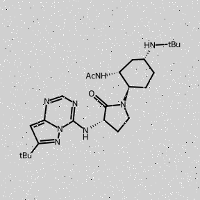 CC(=O)N[C@@H]1C[C@H](NC(C)(C)C)CC[C@H]1N1CC[C@H](Nc2ncnc3cc(C(C)(C)C)nn23)C1=O